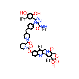 CCNC(=O)c1nnc(-c2cc(C(C)C)c(O)cc2O)n1-c1ccc(CC2CCN(C(=O)C3CCCCN3C(=O)Oc3ccc4nc5c(c(CC)c4c3)Cn3c-5cc4c(c3=O)COC(=O)[C@]4(O)CC)CC2)cc1